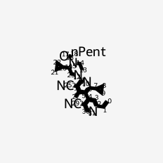 C=Cc1cc(-c2c(C3CC3)nc(N3CCN(C(=O)CCCCC)C(C4CC4)C3)c(C#N)c2C)c(C#N)cn1